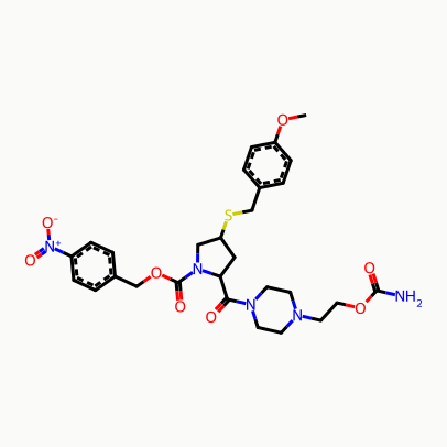 COc1ccc(CSC2CC(C(=O)N3CCN(CCOC(N)=O)CC3)N(C(=O)OCc3ccc([N+](=O)[O-])cc3)C2)cc1